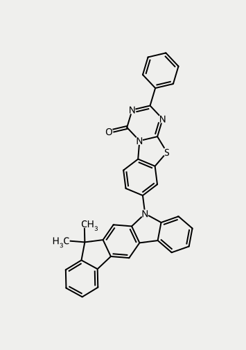 CC1(C)c2ccccc2-c2cc3c4ccccc4n(-c4ccc5c(c4)sc4nc(-c6ccccc6)nc(=O)n45)c3cc21